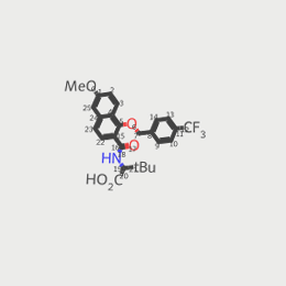 COc1ccc2c(OCc3ccc(C(F)(F)F)cc3)c(C(=O)NC(C(=O)O)C(C)(C)C)ccc2c1